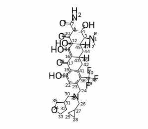 CN(C)[C@@H]1C(O)=C(C(N)=O)C(=O)[C@@]2(O)C(O)=C3C(=O)c4c(O)cc(CN(CC5CC5)CC5CCOC5)c(C(F)(F)F)c4C[C@H]3C[C@@H]12